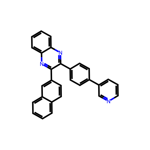 c1cncc(-c2ccc(-c3nc4ccccc4nc3-c3ccc4ccccc4c3)cc2)c1